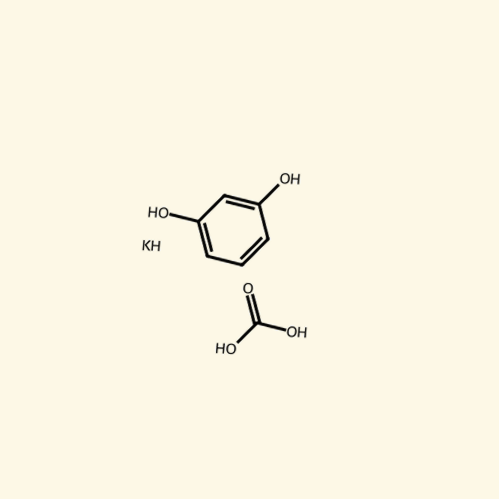 O=C(O)O.Oc1cccc(O)c1.[KH]